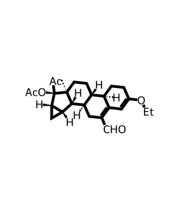 CCOC1=CC2=C(C=O)C[C@@H]3[C@H](CC[C@@]4(C)[C@H]3[C@@H]3C[C@@H]3[C@]4(OC(C)=O)C(C)=O)[C@H]2CC1